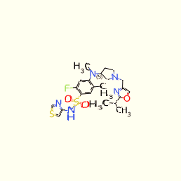 Cc1cc(S(=O)(=O)Nc2cscn2)c(F)cc1N(C)[C@H]1CCN(Cc2coc(C(C)C)n2)C1